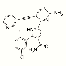 Cc1ccc(Cl)cc1-c1[nH]c(-c2nc(N)ncc2C#Cc2cccnc2)cc1C(N)=O